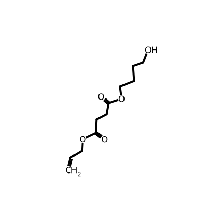 C=CCOC(=O)CCC(=O)OCCCCO